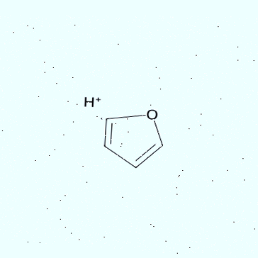 [H+].[c]1ccco1